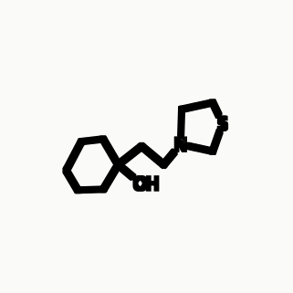 OC1(CCN2CCSC2)CCCCC1